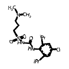 CC(C)c1cc(Cl)cc(C(C)C)c1NC(=O)NS(=O)(=O)CCCN(C)C